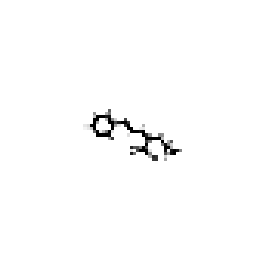 O=C(O)C(=CC=Cc1ccccc1)CC1CO1